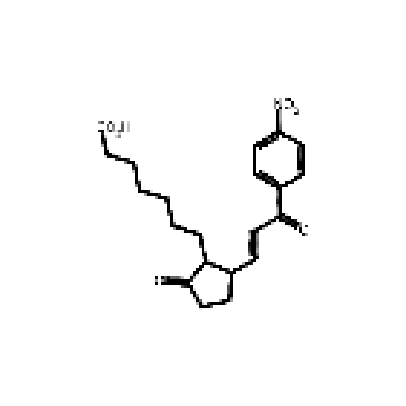 O=C(O)CCCCCCC1C(=O)CCC1C=CC(=O)c1ccc([N+](=O)[O-])cc1